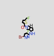 O=C(c1ccc(CF)s1)N1C[C@@H]2CC[C@@H](Nc3ccc(Br)nn3)[C@]2(F)C1